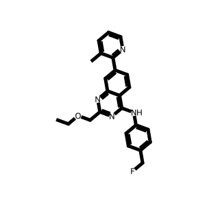 CCOCc1nc(Nc2ccc(CF)cc2)c2ccc(-c3ncccc3C)cc2n1